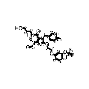 Cc1ccc(Cn2c(OCCOc3cccc(OC(F)(F)F)c3)nc(N(C)C=O)c2C(=O)NCCCO)cn1